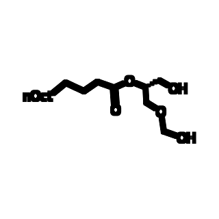 CCCCCCCCCCCC(=O)O[C@H](CO)COCO